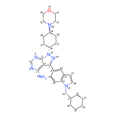 Nc1ncnc2c1c(-c1ccc3c(ccn3CC3CCCCC3)c1)nn2[C@H]1CC[C@H](N2CCOCC2)CC1